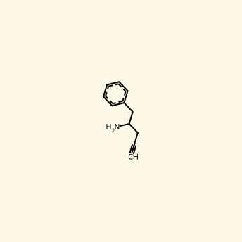 C#CCC(N)Cc1ccccc1